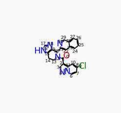 O=C(c1cnn2ccc(Cl)cc12)N1CCc2[nH]cnc2[C@H]1c1cc2ccccc2cn1